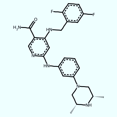 C[C@@H]1CN(c2cccc(Nc3cc(NCc4cc(F)ccc4F)c(C(N)=O)cn3)c2)C[C@H](C)N1